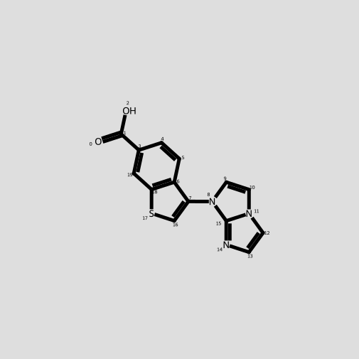 O=C(O)c1ccc2c(-n3ccn4ccnc34)csc2c1